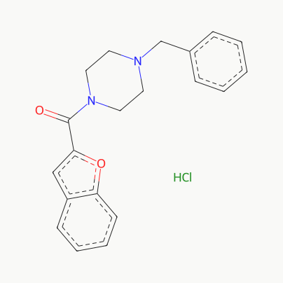 Cl.O=C(c1cc2ccccc2o1)N1CCN(Cc2ccccc2)CC1